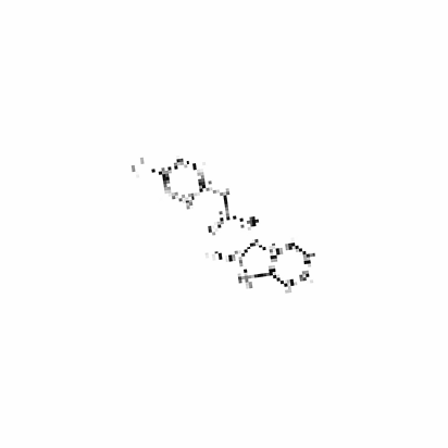 Cc1ccc(CC(=O)NC2C(=O)Nc3ccccc32)cc1